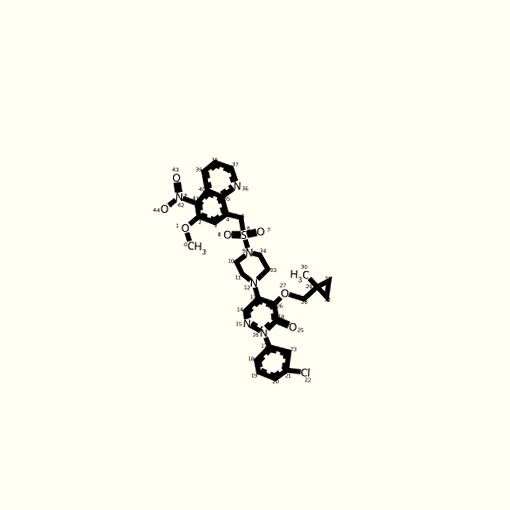 COc1cc(CS(=O)(=O)N2CCN(c3cnn(-c4cccc(Cl)c4)c(=O)c3OCC3(C)CC3)CC2)c2ncccc2c1[N+](=O)[O-]